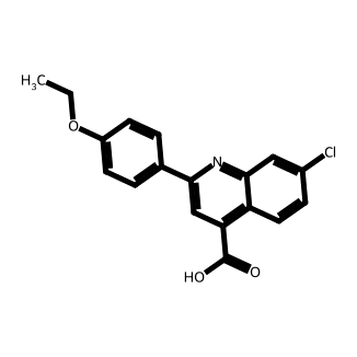 CCOc1ccc(-c2cc(C(=O)O)c3ccc(Cl)cc3n2)cc1